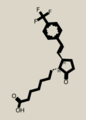 O=C(O)CCCCCC[C@H]1C(=O)CC[C@@H]1C=Cc1ccc(C(F)(F)F)cc1